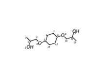 CC(O)COC1CCC(OCC(C)O)CC1